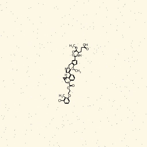 COC(=O)C(CCC(=O)O)NC(=O)c1ccc(OC)c(Cn2cc(-c3cccc4c3[C@H]3C[C@H]3CN4C(=O)OCCOc3cccc(Cl)c3C)cn2)c1